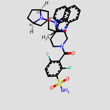 Cc1nc2ccccc2n1[C@H]1C[C@H]2CC[C@@H](C1)N2CCC1(c2ccccc2)CCN(C(=O)c2c(F)ccc(S(N)(=O)=O)c2F)CC1